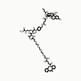 CCCC1O[C@@H]2C[C@H]3[C@@H]4CCC5=CC(=O)C=C[C@]5(C)[C@H]4[C@@H](O)C[C@]3(C)[C@]2(C(=O)COC(=O)CCC(=O)OCc2ccc(NC(=O)[C@H](CCCNC(N)=O)NC(=O)[C@@H](NC(=O)CCOCCOCCOCCOCCNC(=O)CCC(=O)N3Cc4ccccc4/C=C(/C)c4ccccc43)C(C)C)cc2)O1